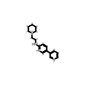 c1cncc(-c2ccc(NCCN3CCCCC3)nc2)c1